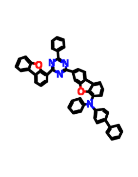 c1ccc(-c2ccc(N(c3ccccc3)c3cccc4c3oc3cc(-c5nc(-c6ccccc6)nc(-c6cccc7c6oc6ccccc67)n5)ccc34)cc2)cc1